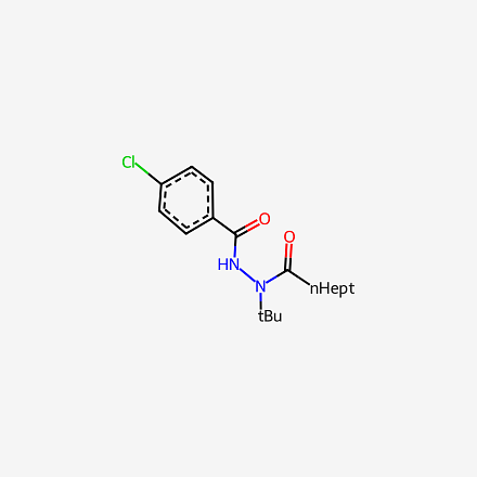 CCCCCCCC(=O)N(NC(=O)c1ccc(Cl)cc1)C(C)(C)C